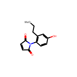 COCCc1cc(O)ccc1N1C(=O)C=CC1=O